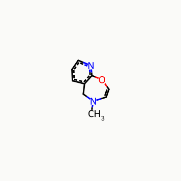 CN1C=COc2ncccc2C1